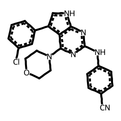 N#Cc1ccc(Nc2nc(N3CCOCC3)c3c(-c4cccc(Cl)c4)c[nH]c3n2)cc1